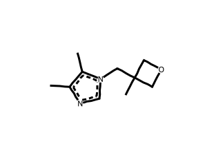 Cc1ncn(CC2(C)COC2)c1C